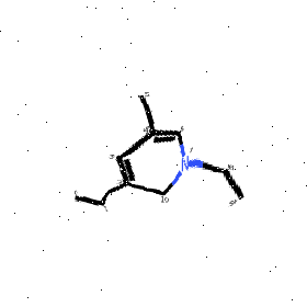 CCC1=CC(C)=CN(CC)C1